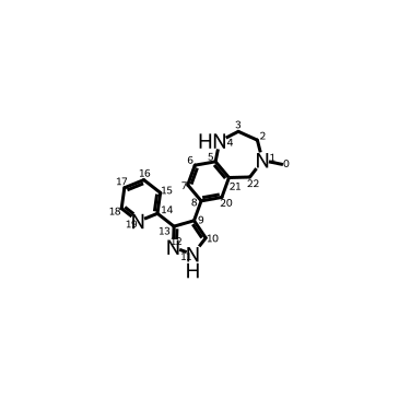 CN1CCNc2ccc(-c3c[nH]nc3-c3ccccn3)cc2C1